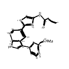 C=CC(=O)Nc1csc(-c2cnc3[nH]cc(-c4ccnc(OC)c4)c3c2)n1